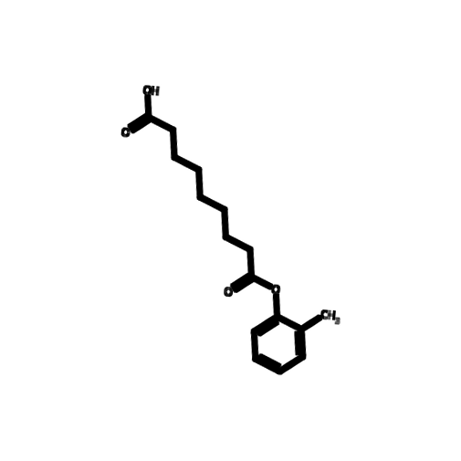 Cc1ccccc1OC(=O)CCCCCCCC(=O)O